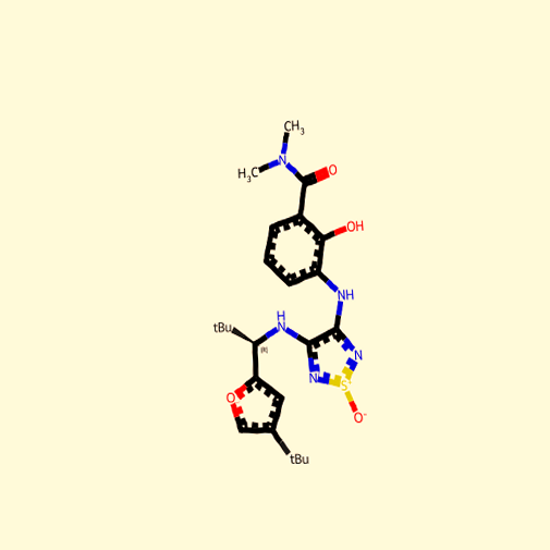 CN(C)C(=O)c1cccc(Nc2n[s+]([O-])nc2N[C@@H](c2cc(C(C)(C)C)co2)C(C)(C)C)c1O